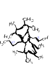 C/C=C/c1c2c(C)c(C)c(C)c(C)c2c(/C=C/C)c2c(C)c(C)c(C)c(C)c12